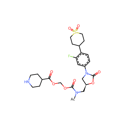 CC(=O)N(C[C@H]1CN(c2ccc(C3CCS(=O)(=O)CC3)c(F)c2)C(=O)O1)C(=O)OCOC(=O)C1CCNCC1